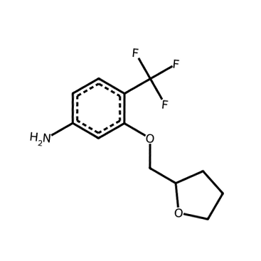 Nc1ccc(C(F)(F)F)c(OCC2CCCO2)c1